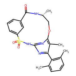 Cc1cccc(C)c1-c1nc2nc(c1C)OC[C@@H](C)NC(=O)c1cccc(c1)S(=O)(=O)N2